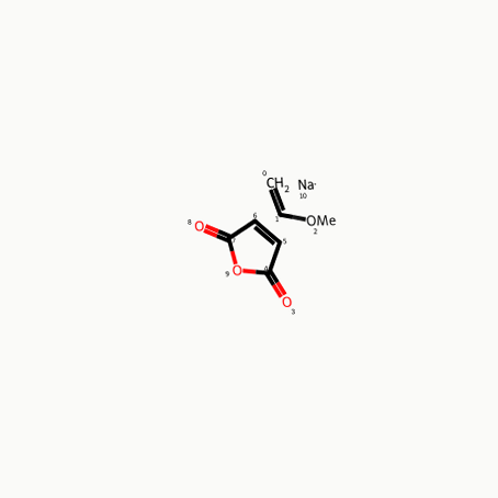 C=COC.O=C1C=CC(=O)O1.[Na]